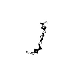 CC(C)[C@@H](C)N1CC(OCCOCCOCC2CC2C2CC(OC(C)(C)C)C2)C1